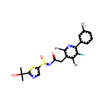 CC(C)c1nc(-c2cccc(C(F)(F)F)c2)c(F)c(C(C)C)c1CC(=O)/N=[SH](=O)/c1cnc(C(C)(C)O)s1